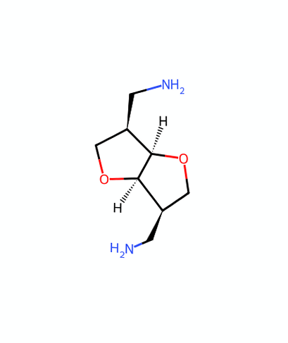 NC[C@@H]1CO[C@@H]2[C@H](CN)CO[C@H]12